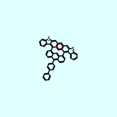 c1ccc(-c2ccc(-c3c4cccc(-c5c6ccccc6cc6sc7ccccc7c56)c4cc4c(-c5c6ccccc6cc6sc7ccccc7c56)cccc34)cc2)cc1